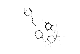 Cc1cc(N)ccc1NC1CC(NC2CCC(NCCCN3C=C[N+](C)=CC3)CC2)[C@@H](N)C[C@]1(N)C(C)C